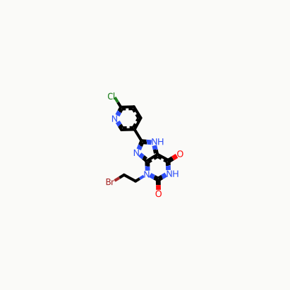 O=c1[nH]c(=O)n(CCBr)c2nc(-c3ccc(Cl)nc3)[nH]c12